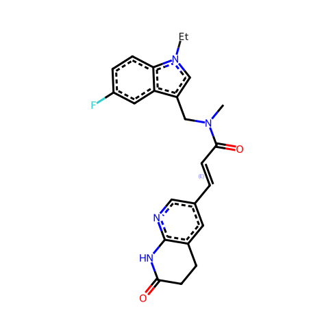 CCn1cc(CN(C)C(=O)/C=C/c2cnc3c(c2)CCC(=O)N3)c2cc(F)ccc21